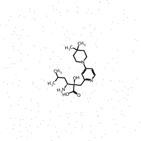 CC(C)C[C@H](N)[C@](O)(Cc1cc(N2CCC(C)(C)CC2)ccn1)C(=O)O